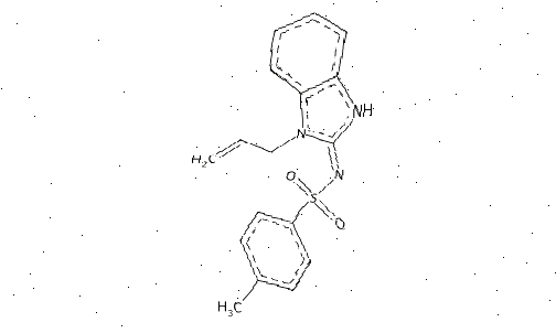 C=CCn1c(=NS(=O)(=O)c2ccc(C)cc2)[nH]c2ccccc21